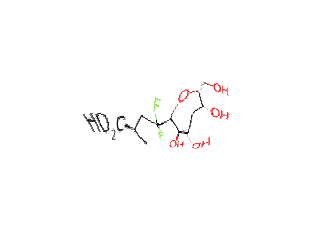 C[C@H](CC(F)(F)[C@H]1O[C@H](CO)[C@H](O)[C@H](O)[C@H]1O)C(=O)O